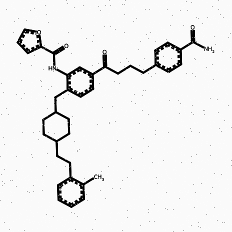 Cc1ccccc1CCC1CCC(Cc2ccc(C(=O)CCCc3ccc(C(N)=O)cc3)cc2NC(=O)c2ccco2)CC1